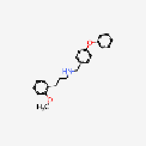 COc1ccccc1CCCNCc1ccc(Oc2ccccc2)cc1